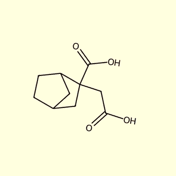 O=C(O)CC1(C(=O)O)CC2CCC1C2